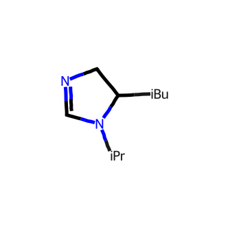 CCC(C)C1CN=CN1C(C)C